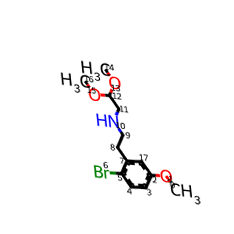 COc1ccc(Br)c(CCNCC(OC)OC)c1